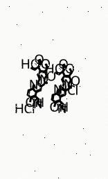 CC[C@@]1(O)C(=O)OCc2c1cc1n(c2=O)Cc2cc3c(CN(C)C)c(O)ccc3nc2-1.CC[C@@]1(O)C(=O)OCc2c1cc1n(c2=O)Cc2cc3c(CN(C)C)c(O)ccc3nc2-1.Cl.Cl